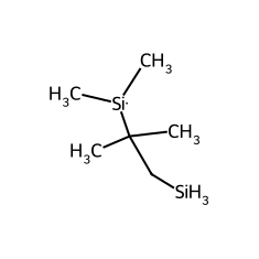 C[Si](C)C(C)(C)C[SiH3]